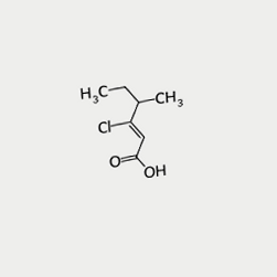 CCC(C)C(Cl)=CC(=O)O